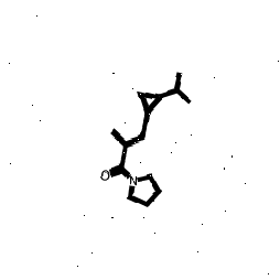 CC(CC1CC1C(C)C)C(=O)N1CCCC1